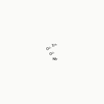 [Nb].[O-2].[O-2].[Ti+4]